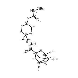 CC(C)(C)NC(=O)CN1CCC2(CC1)C[C@H]2NC(=O)C12CC3(F)CC(F)(C1)C(F)(C3)C2